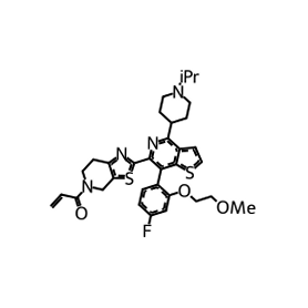 C=CC(=O)N1CCc2nc(-c3nc(C4CCN(C(C)C)CC4)c4ccsc4c3-c3ccc(F)cc3OCCOC)sc2C1